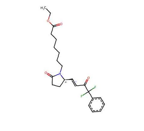 CCOC(=O)CCCCCCN1C(=O)CC[C@@H]1/C=C/C(=O)C(F)(F)c1ccccc1